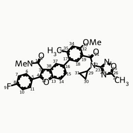 CNC(=O)c1c(-c2ccc(F)cc2)oc2ccc(-c3cc(C(=O)N(c4noc(C)n4)C4CC4)c(OC)cc3C)cc12